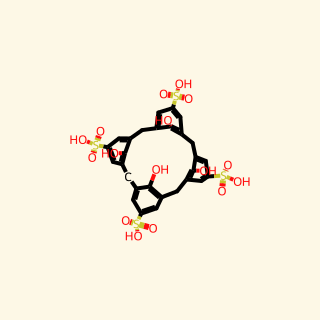 O=S(=O)(O)c1cc2c(O)c(c1)Cc1cc(S(=O)(=O)O)cc(c1O)Cc1cc(S(=O)(=O)O)cc(c1O)Cc1cc(S(=O)(=O)O)cc(c1O)C2